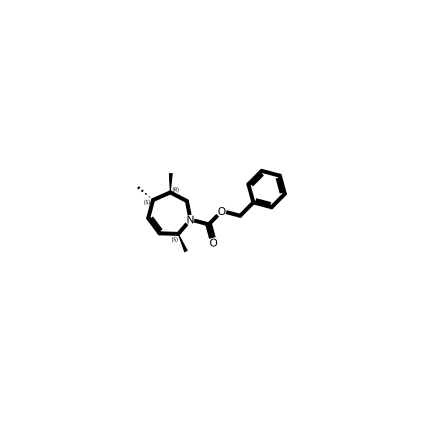 C[C@H]1C=C[C@H](C)N(C(=O)OCc2ccccc2)C[C@@H]1C